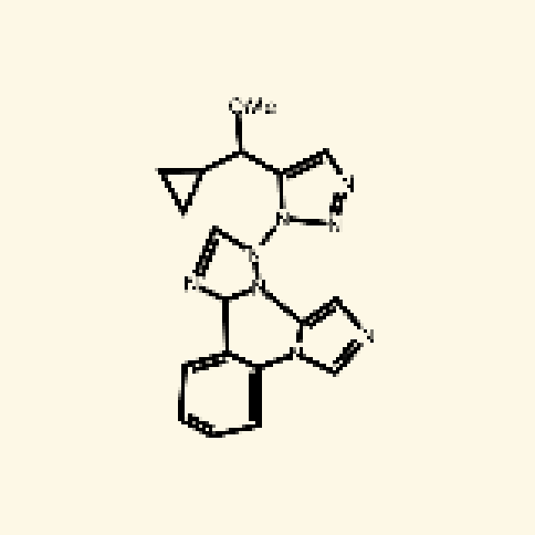 COC(c1cnnn1N1C=NC2c3ccccc3-n3cncc3N21)C1CC1